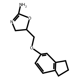 NC1=NCC(COc2ccc3c(c2)CCC3)O1